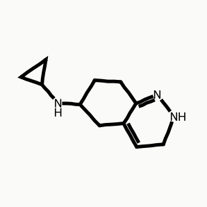 C1=C2CC(NC3CC3)CCC2=NNC1